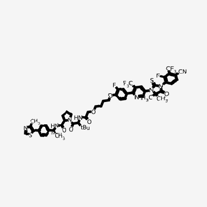 Cc1ncsc1-c1ccc([C@H](C)NC(=O)C2CCCN2C(=O)C(NC(=O)COCCCCOc2ccc(-c3ncc(N4C(=S)N(c5ccc(C#N)c(C(F)(F)F)c5F)C(=O)C4(C)C)cc3C(F)(F)F)cc2F)C(C)(C)C)cc1